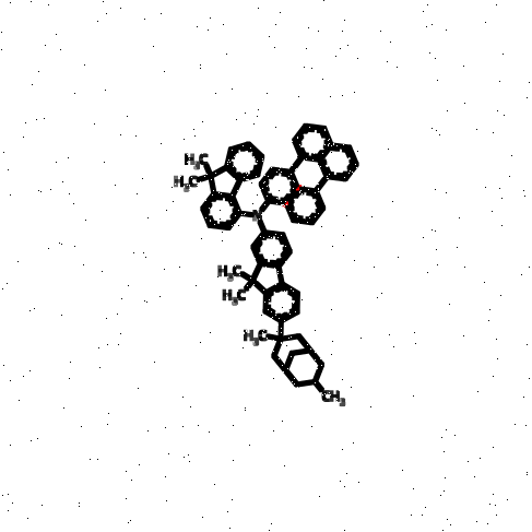 CC1CC2CC(C1)CC(C)(c1ccc3c(c1)C(C)(C)c1cc(N(c4ccc(-c5cccc6cccc(-c7ccccc7)c56)cc4)c4cccc5c4-c4ccccc4C5(C)C)ccc1-3)C2